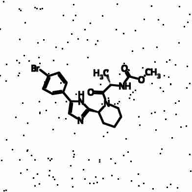 COC(=O)N[C@@H](C)C(=O)N1CCCC[C@H]1c1ncc(-c2ccc(Br)cc2)[nH]1